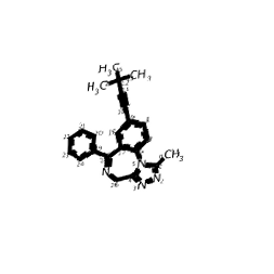 Cc1nnc2n1-c1ccc(C#CC(C)(C)C)cc1C(c1ccccc1)=NC2